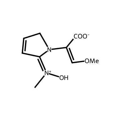 COC=C(C(=O)[O-])N1CC=CC1=[N+](C)O